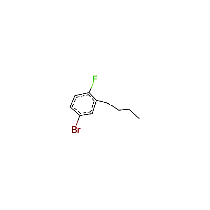 CCCCc1cc(Br)ccc1F